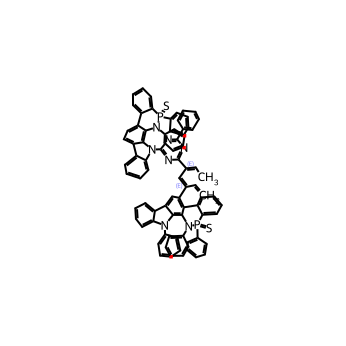 C=C/C(=C\C(=C/C)c1nc(-c2ccccc2)nc(-n2c3ccccc3c3ccc4c(c32)N(c2ccccc2)P(=S)(c2ccccc2)c2ccccc2-4)n1)c1cc2c3ccccc3n(-c3ccccc3)c2c2c1-c1ccccc1P(=S)(c1ccccc1)N2c1ccccc1